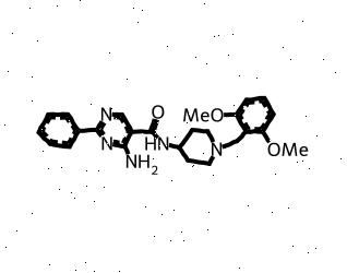 COc1cccc(OC)c1CN1CCC(NC(=O)c2cnc(-c3ccccc3)nc2N)CC1